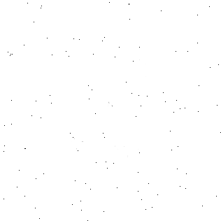 CCO[Si](CCCCCN(CCCCC[Si](OCC)(OCC)OCC)CCCCC[Si](OCC)(OCC)OCC)(OCC)OCC